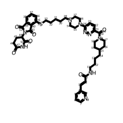 O=C(/C=C/c1cccnc1)NCCCCC1CCN(C(=O)c2ccc(N3CCN(CCCCCSc4cccc5c4C(=O)N(C4CCC(=O)NC4=O)C5=O)CC3)nn2)CC1